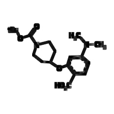 CN(C)c1ccc(C(=O)O)c(OC2CCN(C(=O)OC(C)(C)C)CC2)c1